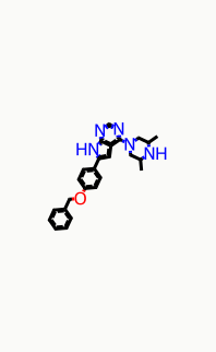 CC1CN(c2ncnc3[nH]c(-c4ccc(OCc5ccccc5)cc4)cc23)CC(C)N1